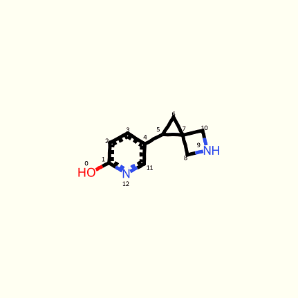 Oc1ccc(C2CC23CNC3)cn1